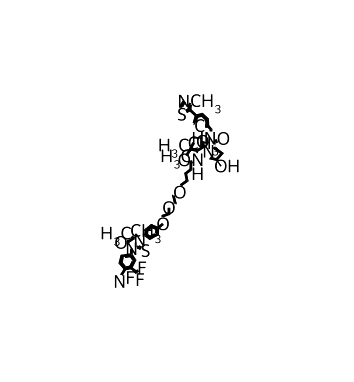 Cc1ncsc1-c1ccc(CNC(=O)[C@@H]2C[C@@H](O)CN2C(=O)[C@@H](NC(=O)CCCCOCCOCCOc2ccc(N3C(=S)N(c4ccc(C#N)c(C(F)(F)F)c4)C(=O)C3(C)C)cc2)C(C)(C)C)cc1